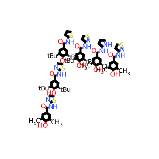 CC(C)(C)c1cc(C(=O)Nc2cccs2)cc(C(C)(C)C)c1O.CC(C)(C)c1cc(C(=O)Nc2ccsn2)cc(C(C)(C)C)c1O.CC(C)(C)c1cc(C(=O)Nc2nccs2)cc(C(C)(C)C)c1O.Cc1cc(C(=O)Nc2ccc[nH]2)cc(C)c1O.Cc1cc(C(=O)Nc2ccsn2)cc(C)c1O.Cc1cc(C(=O)Nc2nccs2)cc(C)c1O